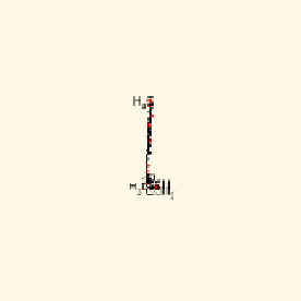 CCCCCCCCCCCCCCCCCCCCCCCCCC(=O)OC(C)OC(=O)C(C)C